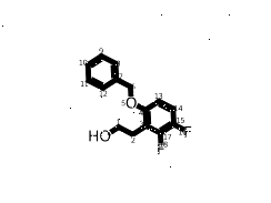 OCCc1c(OCc2ccccc2)ccc(F)c1F